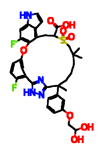 CC1(C)CCCC(C)(c2cccc(OCC(O)O)c2)c2n[nH]c(n2)-c2cc(ccc2F)Oc2c(F)cc3[nH]ccc3c2CC(C(=O)O)S(=O)(=O)C1